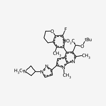 Cc1nc2c(cc(-c3ccn(C4CN(C)C4)n3)n2C)c(-c2cc(F)c3c(c2C)CCCO3)c1[C@H](OC(C)(C)C)C(=O)O